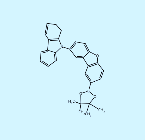 CC1(C)OB(c2ccc3oc4ccc(-n5c6c(c7ccccc75)C=CCC6)cc4c3c2)OC1(C)C